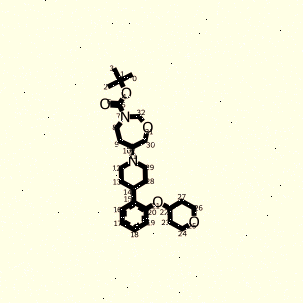 CC(C)(C)OC(=O)N1CC[C@H](N2CCC(c3ccccc3OC3CCOCC3)CC2)COC1